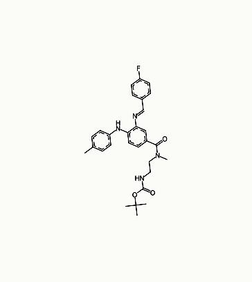 Cc1ccc(Nc2ccc(C(=O)N(C)CCNC(=O)OC(C)(C)C)cc2N=Cc2ccc(F)cc2)cc1